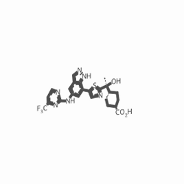 C[C@@](O)(c1ncc(-c2cc(Nc3nccc(C(F)(F)F)n3)cc3cn[nH]c23)s1)[C@H]1CC[C@H](C(=O)O)CC1